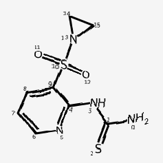 NC(=S)Nc1ncccc1S(=O)(=O)N1CC1